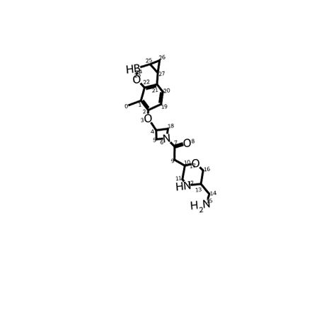 Cc1c(OC2CN(C(=O)CC3CNC(CN)CO3)C2)ccc2c1OBC1CC21